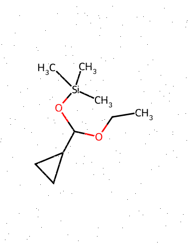 CCOC(O[Si](C)(C)C)C1CC1